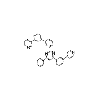 c1ccc(-c2cc(-c3cccc(-c4ccncc4)c3)nc(-c3cccc(-c4cccc(-c5cccnc5)c4)c3)n2)cc1